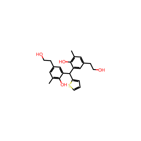 Cc1cc(CCO)cc(C(c2cccs2)c2cc(CCO)cc(C)c2O)c1O